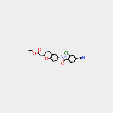 CCOC(=O)CC1CCc2cc(NC(=O)c3ccc(C#N)cc3Cl)ccc2O1